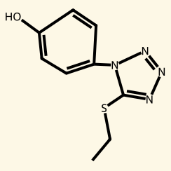 CCSc1nnnn1-c1ccc(O)cc1